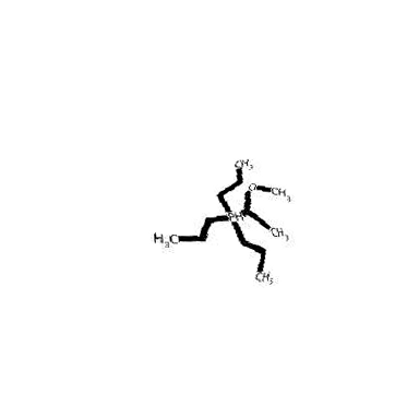 CCC[PH](CCC)(CCC)C(C)OC